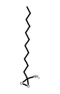 CCCCCCCCCCCC1(N)OO1